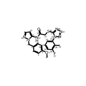 COc1ccc(Cn2nccc2NC(=O)CSc2nnnn2-c2cccc(F)c2C)cc1